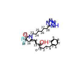 C[C@@H](CCCc1ccccc1)[C@H](O)C=C[C@H]1CC(F)(F)C(=O)N1CCCCCCc1nnn[nH]1